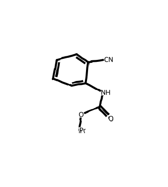 CC(C)OC(=O)Nc1ccccc1C#N